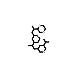 CC(C)C1CSCC(CC(C)C2CCSC(CC(C)C3COCCO3)C2)C1